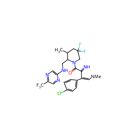 CN/C=C(\C(=N)C(=O)N1CC(F)(F)CC(C)C1CNc1cnc(C(F)(F)F)cn1)c1ccc(Cl)cc1